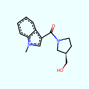 Cn1cc(C(=O)N2CC[C@@H](CO)C2)c2ccccc21